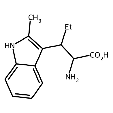 CCC(c1c(C)[nH]c2ccccc12)C(N)C(=O)O